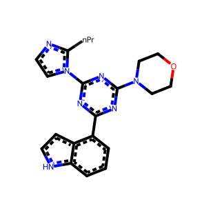 CCCc1nccn1-c1nc(-c2cccc3[nH]ccc23)nc(N2CCOCC2)n1